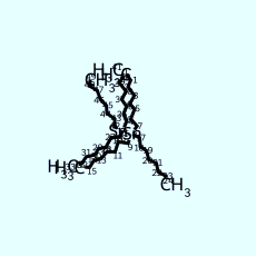 CCCCCCC[CH2][Sn]([CH2]CCCCCCC)([CH2]CCCCCCC)[Sn]([CH2]CCCCCCC)([CH2]CCCCCCC)[CH2]CCCCCCC